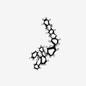 c1ccc(-n2c3ccccc3c3ccc4c(c5ccccc5n4-c4cccc(-c5ccc6c(c5)N=c5cc7c(cc5S6)=Nc5ccccc5S7)c4)c32)cc1